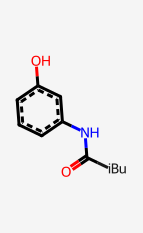 CCC(C)C(=O)Nc1cccc(O)c1